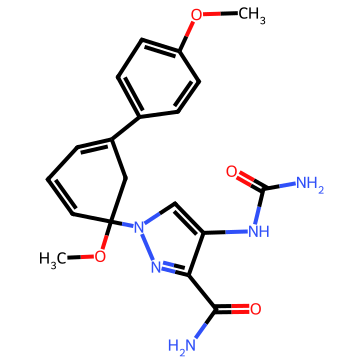 COc1ccc(C2=CC=CC(OC)(n3cc(NC(N)=O)c(C(N)=O)n3)C2)cc1